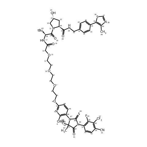 COc1nc(OCCOCCOCCOCC(=O)N[C@H](C(=O)N2C[C@H](O)C[C@H]2C(=O)NCc2ccc(-c3scnc3C)cc2)C(C)(C)C)ccc1N1C(=S)N(c2ccc(C#N)c(C(F)(F)F)c2F)C(=O)C1(C)C